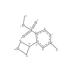 COS(=O)(=O)c1ccc(C)cc1C1COC1